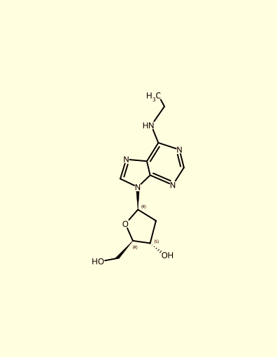 CCNc1ncnc2c1ncn2[C@H]1C[C@H](O)[C@@H](CO)O1